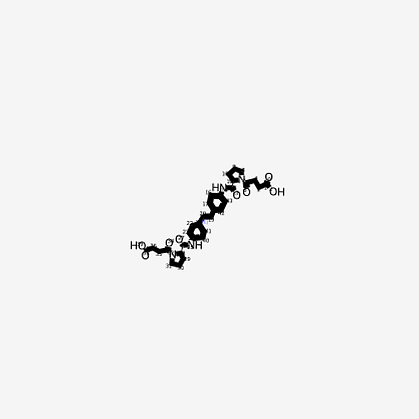 O=C(O)CCC(=O)N1CCC[C@H]1C(=O)Nc1ccc(/C=C/c2ccc(NC(=O)[C@@H]3CCCN3C(=O)CCC(=O)O)cc2)cc1